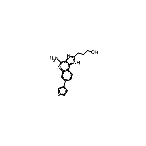 Nc1nc2cc(-c3ccsc3)ccc2c2[nH]c(CCCO)nc12